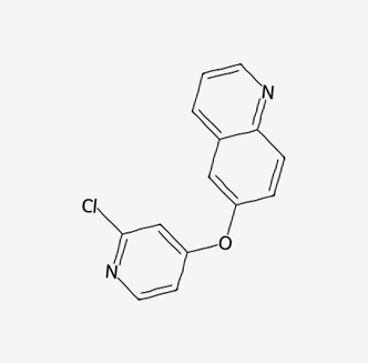 Clc1cc(Oc2ccc3ncccc3c2)ccn1